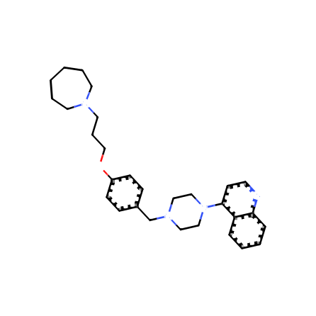 c1ccc2c(N3CCN(Cc4ccc(OCCCN5CCCCCC5)cc4)CC3)ccnc2c1